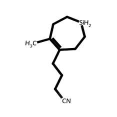 CC1=C(CCCC#N)CC[SiH2]CC1